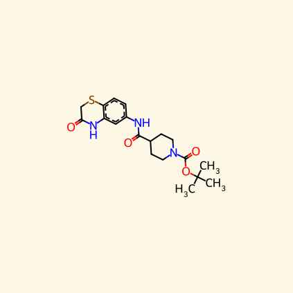 CC(C)(C)OC(=O)N1CCC(C(=O)Nc2ccc3c(c2)NC(=O)CS3)CC1